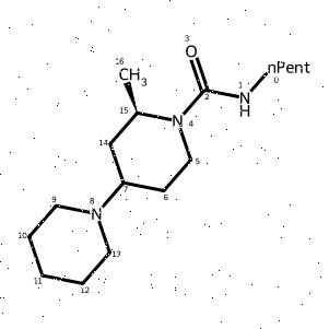 CCCCCNC(=O)N1CCC(N2CCCCC2)C[C@H]1C